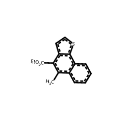 CCOC(=O)c1c(C)c2ccccc2c2sccc12